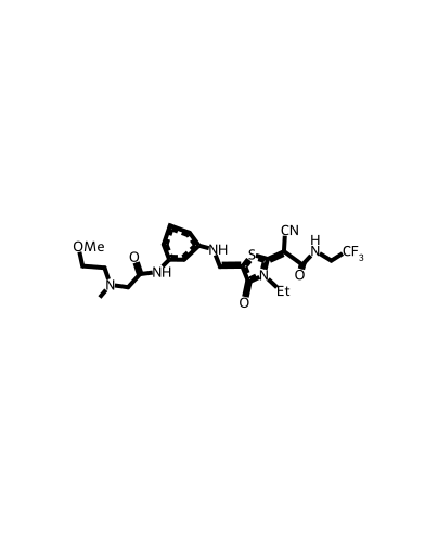 CCn1c(=C(C#N)C(=O)NCC(F)(F)F)sc(=CNc2cccc(NC(=O)CN(C)CCOC)c2)c1=O